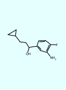 Nc1cc(C(O)CCC2CC2)ccc1F